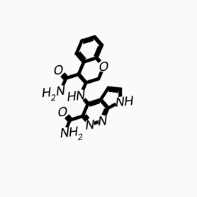 NC(=O)c1nnc2[nH]ccc2c1NC1COc2ccccc2C1C(N)=O